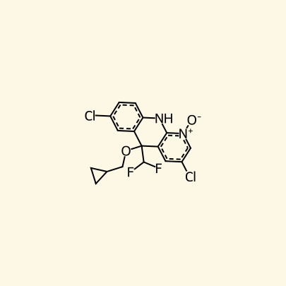 [O-][n+]1cc(Cl)cc2c1Nc1ccc(Cl)cc1C2(OCC1CC1)C(F)F